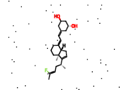 C/C(F)=C/C[C@@H](C)C1=CC[C@H]2/C(=C/C=C3C[C@@H](O)C[C@H](O)C3)CCC[C@]12C